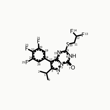 CC(C)c1nn2c(=O)[nH]c(SCC(F)F)nc2c1-c1cc(F)c(F)c(F)c1